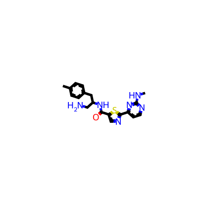 CNc1nccc(-c2ncc(C(=O)NC(CN)Cc3ccc(C)cc3)s2)n1